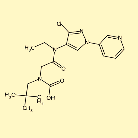 CCN(C(=O)CN(CC(C)(C)C)C(=O)O)c1cn(-c2cccnc2)nc1Cl